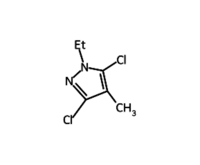 CCn1nc(Cl)c(C)c1Cl